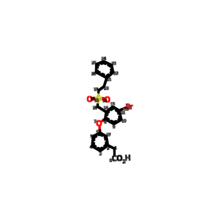 O=C(O)Cc1cccc(Oc2ccc(Br)cc2CS(=O)(=O)CCc2ccccc2)c1